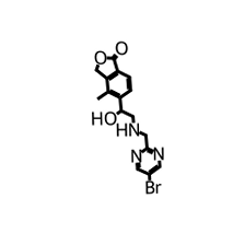 Cc1c(C(O)CNCc2ncc(Br)cn2)ccc2c1COC2=O